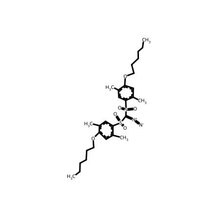 CCCCCCOc1cc(C)c(S(=O)(=O)C(=[N+]=[N-])S(=O)(=O)c2cc(C)c(OCCCCCC)cc2C)cc1C